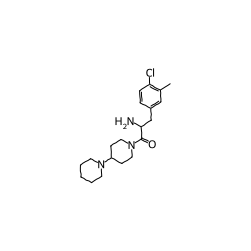 Cc1cc(CC(N)C(=O)N2CCC(N3CCCCC3)CC2)ccc1Cl